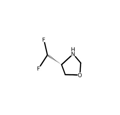 FC(F)[C@H]1COCN1